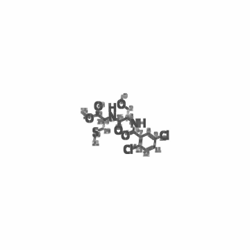 COC[C@H](NC(=O)c1cc(Cl)ccc1Cl)C(=O)N[C@H](CSC)C(=O)OC